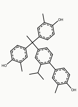 Cc1cc(-c2ccc(C(C)(c3ccc(O)c(C)c3)c3ccc(O)c(C)c3)cc2C(C)C)ccc1O